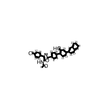 CC(=O)Nc1oc(-c2ccc(-c3ccc(-c4ccc5ccccc5c4)cc3O)cc2)nc1-c1ccc(Cl)cc1